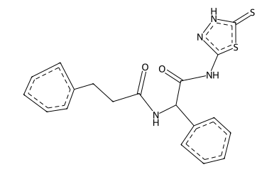 O=C(CCc1ccccc1)NC(C(=O)Nc1n[nH]c(=S)s1)c1ccccc1